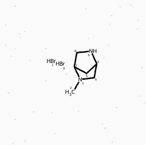 Br.Br.CN1CC2CC1CN2